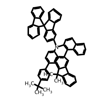 CC(C)(C)c1ccc(-c2ccc(N(c3ccc4c(c3)-c3ccccc3C43c4ccccc4-c4ccccc43)c3ccc4ccccc4c3-c3ccc4c(c3)-c3ccccc3C4(C)C)cc2)cc1